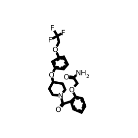 NC(=O)COc1ccccc1C(=O)N1CCC(Oc2cccc(OCC(F)(F)F)c2)CC1